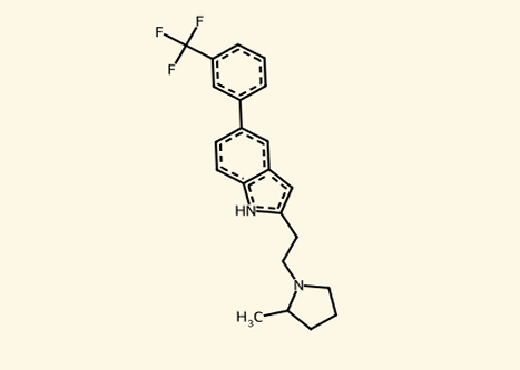 CC1CCCN1CCc1cc2cc(-c3cccc(C(F)(F)F)c3)ccc2[nH]1